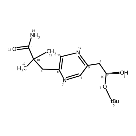 CC(C)(C)O[C@H](O)Cc1cnc(CC(C)(C)C(N)=O)cn1